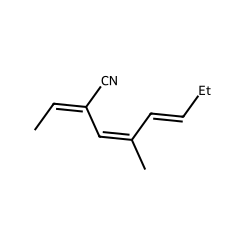 C/C=C(C#N)\C=C(\C)C=CCC